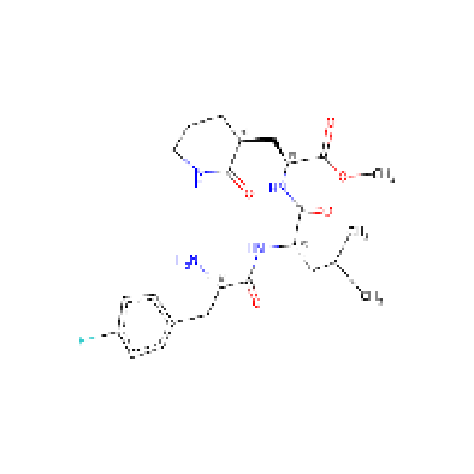 COC(=O)[C@H](C[C@@H]1CCCNC1=O)NC(=O)[C@H](CC(C)C)NC(=O)[C@@H](N)Cc1ccc(F)cc1